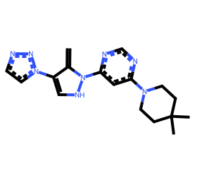 C=C1C(n2ccnn2)=CNN1c1cc(N2CCC(C)(C)CC2)ncn1